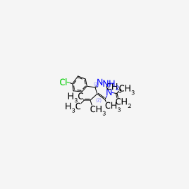 C=C(C)N(C)/C(C)=C(C(C)=C(C)C)\C(=N/N)c1ccc(Cl)cc1